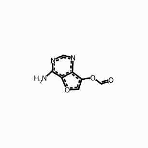 Nc1ncnc2c(OC=O)coc12